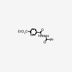 CCOC(=O)c1ccc(C(=O)NNC(=O)C(C)C)cn1